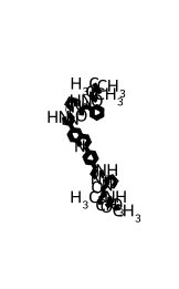 COC(=O)N[C@H](C(=O)N1CCC[C@H]1c1ncc(-c2ccc(-c3ccc4cc(-c5c[nH]c([C@@H]6CCCN6C(=O)[C@H](NC(=O)OC(C)(C)C)c6ccccc6)n5)ccc4n3)cc2)[nH]1)C(C)C